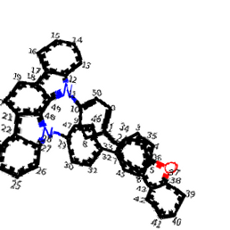 C1=C(c2ccccc2)CCC(n2c3ccccc3c3ccc4c5ccccc5n(-c5ccc(-c6ccc7oc8ccccc8c7c6)cc5)c4c32)=C1